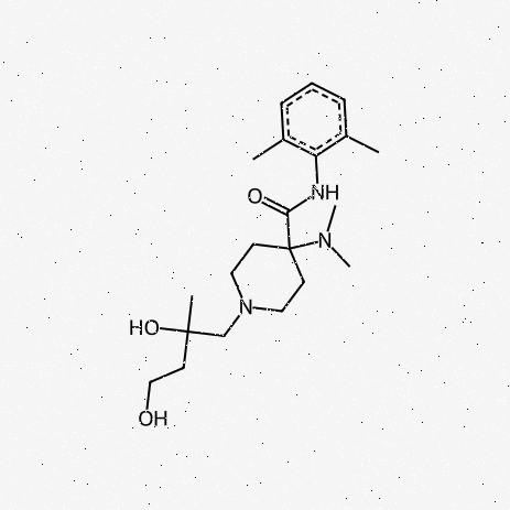 Cc1cccc(C)c1NC(=O)C1(N(C)C)CCN(CC(C)(O)CCO)CC1